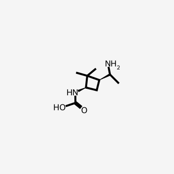 CC(N)[C@H]1C[C@@H](NC(=O)O)C1(C)C